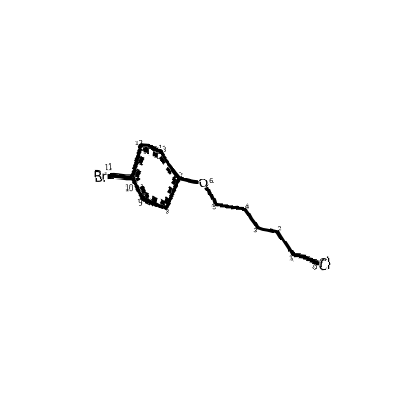 ClCCCCCOc1ccc(Br)cc1